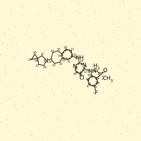 CP(C)(=O)c1cc(F)ccc1Nc1nc(Nc2ccc3c(c2)CCC(N2CCC4(CC4)C2)CC3)ncc1Cl